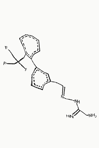 N=C(N)N/N=C/c1cccc(-c2ccccc2C(F)(F)F)c1